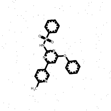 Cc1ccc(-c2cc(Oc3ccccc3)nc(NS(=O)(=O)c3ccccc3)n2)cn1